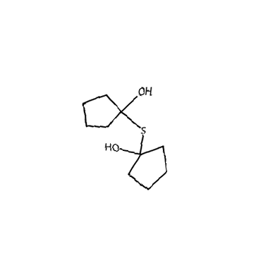 OC1(SC2(O)CCCC2)CCCC1